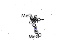 C#Cc1ccc(NC(=O)c2cc(OC)ccc2NC(=O)c2ccc(/N=C/N3CCC(C(=O)OC)CC3)cc2)cc1